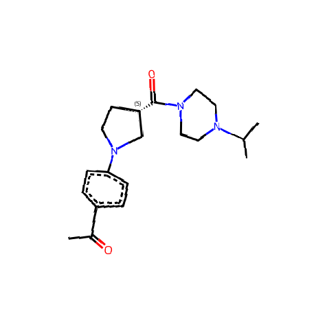 CC(=O)c1ccc(N2CC[C@H](C(=O)N3CCN(C(C)C)CC3)C2)cc1